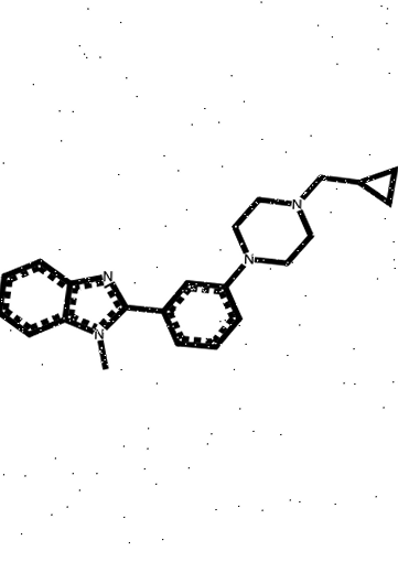 Cn1c(-c2cccc(N3CCN(CC4CC4)CC3)c2)nc2ccccc21